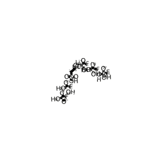 CCCS(=O)(=O)O.O=P(O)(O)F.O=P(O)(O)F.O=P(O)(O)F.O=P(O)(O)F.O=P([O-])(O)F.[Li+]